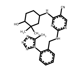 Cc1nnnn1-c1ccccc1CNc1ncc(C#N)c(NC2CCC(O)C(C)(C)C2)n1